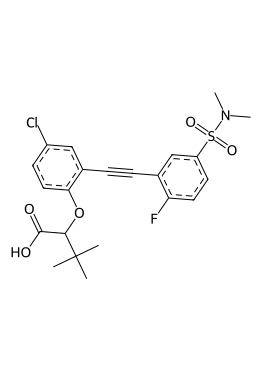 CN(C)S(=O)(=O)c1ccc(F)c(C#Cc2cc(Cl)ccc2OC(C(=O)O)C(C)(C)C)c1